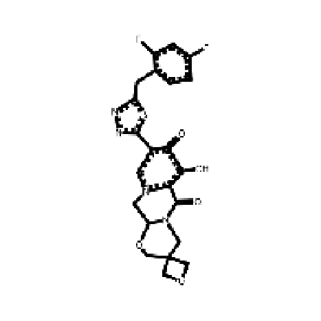 O=C1c2c(O)c(=O)c(-c3nnc(Cc4ccc(F)cc4F)s3)cn2CC2OCC3(COC3)CN12